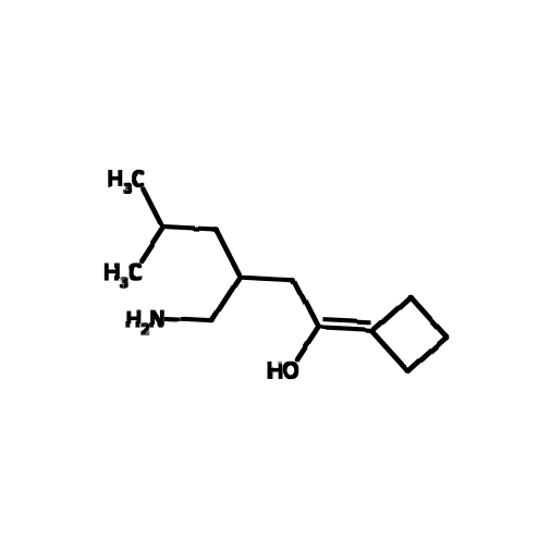 CC(C)CC(CN)CC(O)=C1CCC1